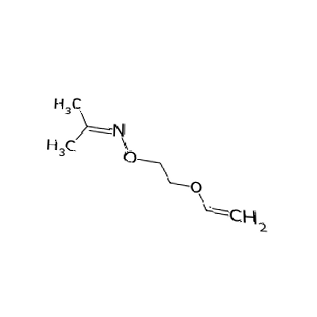 C=COCCON=C(C)C